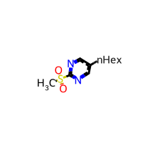 CCCCCCc1cnc(S(C)(=O)=O)nc1